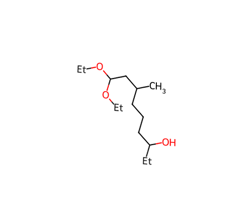 CCOC(CC(C)CCCC(O)CC)OCC